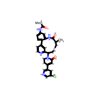 COC(=O)Nc1ccc2c(c1)NC(=O)C(C)CCCC(N1CCC(c3cncc(Cl)c3)=CC1=O)c1cc-2ccn1